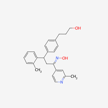 Cc1cc(C(CC(c2ccc(CCCO)cc2)c2ccccc2C)=NO)ccn1